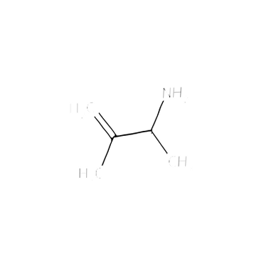 C=C(C)[C](C)N